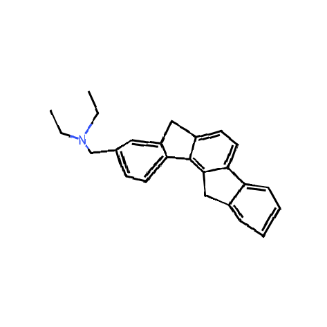 CCN(CC)Cc1ccc2c(c1)Cc1ccc3c(c1-2)Cc1ccccc1-3